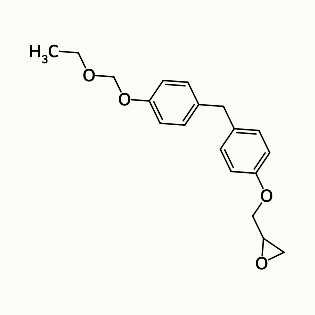 CCOCOc1ccc(Cc2ccc(OCC3CO3)cc2)cc1